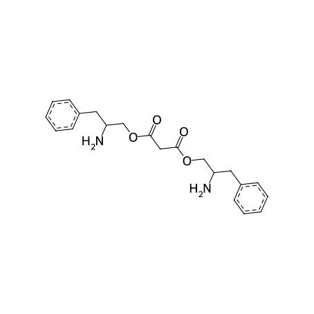 NC(COC(=O)CC(=O)OCC(N)Cc1ccccc1)Cc1ccccc1